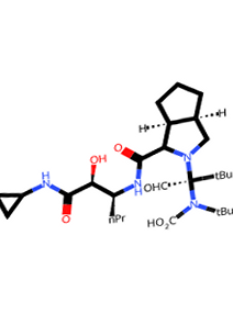 CCC[C@H](NC(=O)C1[C@H]2CCC[C@H]2CN1[C@](C=O)(N(C(=O)O)C(C)(C)C)C(C)(C)C)[C@H](O)C(=O)NC1CC1